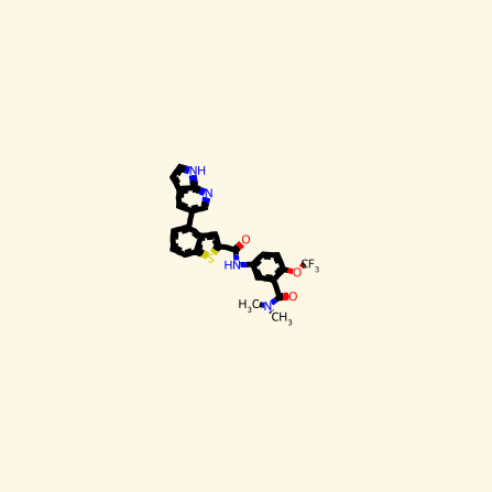 CN(C)C(=O)c1cc(NC(=O)c2cc3c(-c4cnc5[nH]ccc5c4)cccc3s2)ccc1OC(F)(F)F